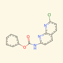 O=C(Nc1ccc2ccc(Cl)nc2n1)Oc1ccccc1